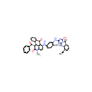 C#Cc1cccc(C#C)c1Nc1nc(O)nc(Nc2cc(Nc3ccc4c5c3C(=O)c3ccccc3-c5c(C(=O)c3ccccc3)c(=O)n4C)ccc2S(=O)(=O)O)n1